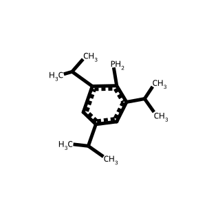 CC(C)c1cc(C(C)C)c(P)c(C(C)C)c1